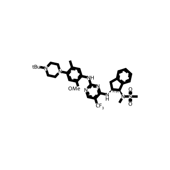 COc1cc(N2CCN(C(C)(C)C)CC2)c(C)cc1Nc1ncc(C(F)(F)F)c(N[C@@H]2Cc3ccccc3[C@H]2N(C)S(C)(=O)=O)n1